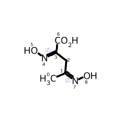 C/C(C/C(=N/O)C(=O)O)=N/O